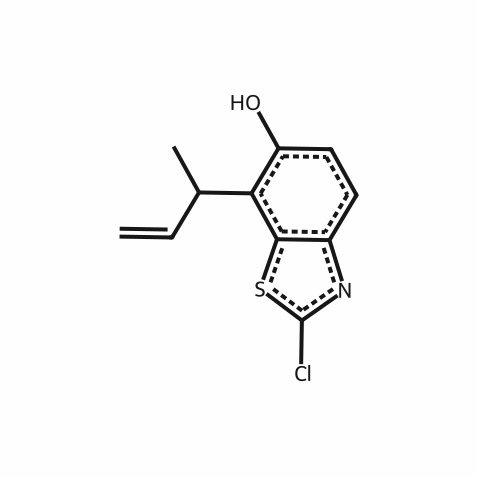 C=CC(C)c1c(O)ccc2nc(Cl)sc12